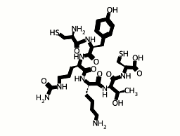 C[C@@H](O)[C@H](NC(=O)[C@H](CCCCN)NC(=O)[C@@H](CCCNC(N)=O)NC(=O)[C@H](Cc1ccc(O)cc1)NC(=O)[C@H](N)CS)C(=O)N[C@@H](CS)C(=O)O